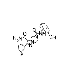 NC(=O)c1c(-c2cccc(F)c2)nn2c1CN(C(=O)NC13CC4CC(CC(O)(C4)C1)C3)CC2